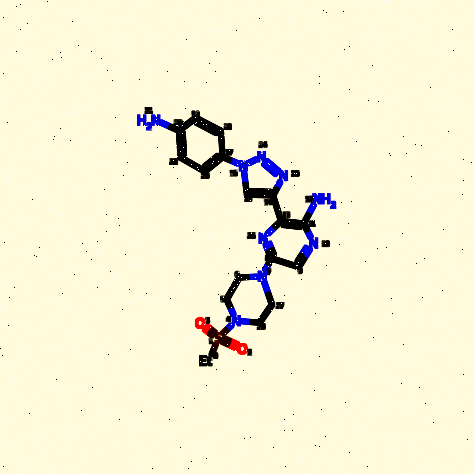 CCS(=O)(=O)N1CCN(c2cnc(N)c(-c3cn(-c4ccc(N)cc4)nn3)n2)CC1